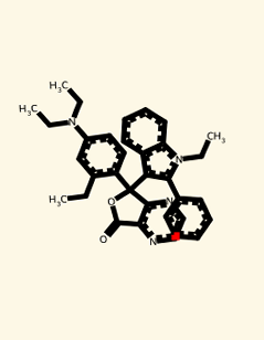 CCc1cc(N(CC)CC)ccc1C1(c2c(-c3ccccc3)n(CC)c3ccccc23)OC(=O)c2nccnc21